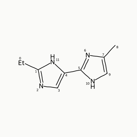 CCc1ncc(-c2nc(C)c[nH]2)[nH]1